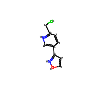 ClCc1ccc(-c2ccon2)cn1